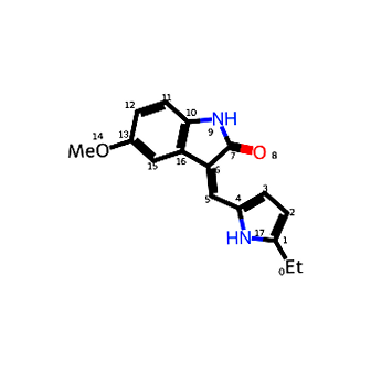 CCc1ccc(C=C2C(=O)Nc3ccc(OC)cc32)[nH]1